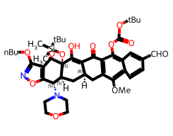 CCCCOc1noc2c1C(=O)[C@@]1(O[Si](C)(C)C(C)(C)C)C(O)=C3C(=O)c4c(c(OC)c5ccc(C=O)cc5c4OC(=O)OC(C)(C)C)C[C@H]3C[C@H]1[C@@H]2N1CCOCC1